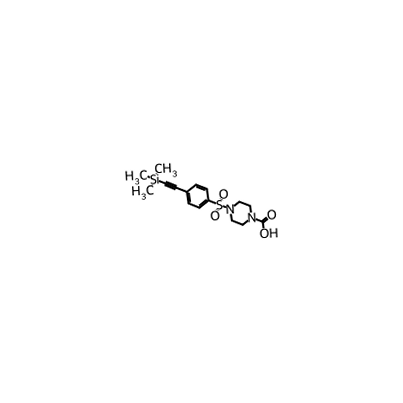 C[Si](C)(C)C#Cc1ccc(S(=O)(=O)N2CCN(C(=O)O)CC2)cc1